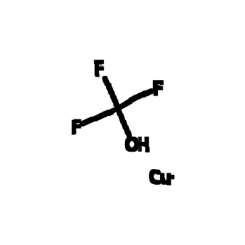 OC(F)(F)F.[Cu]